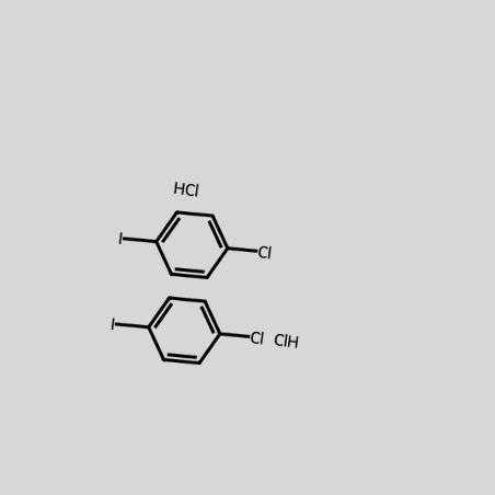 Cl.Cl.Clc1ccc(I)cc1.Clc1ccc(I)cc1